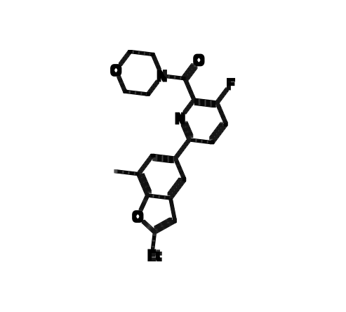 CCc1cc2cc(-c3ccc(F)c(C(=O)N4CCOCC4)n3)cc(C)c2o1